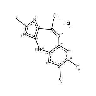 Cl.Cn1nc2c(n1)C(N)=Nc1cc(Cl)c(Cl)cc1N2